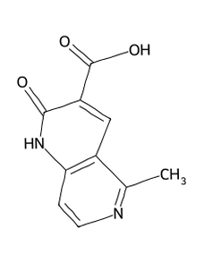 Cc1nccc2[nH]c(=O)c(C(=O)O)cc12